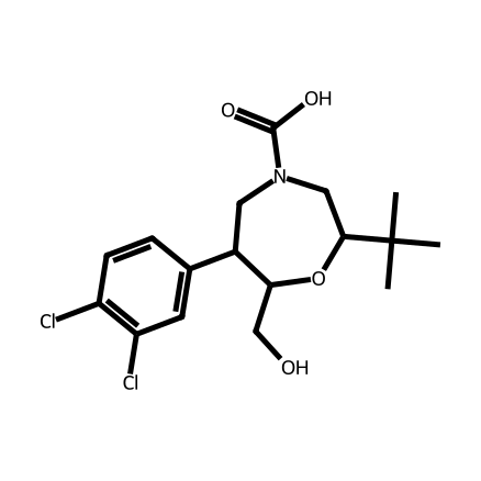 CC(C)(C)C1CN(C(=O)O)CC(c2ccc(Cl)c(Cl)c2)C(CO)O1